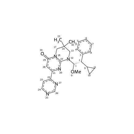 COC([C@H](c1ccccc1)C1CC1)N1CC(C)(C)Cn2c1nc(-c1ccncn1)cc2=O